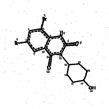 O=c1[nH]c2c(Br)cc(Br)cc2c(=O)n1C1CCC(O)CC1